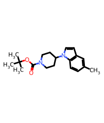 Cc1ccc2c(ccn2C2CCN(C(=O)OC(C)(C)C)CC2)c1